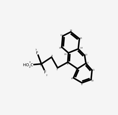 O=C(O)C(F)(F)CCc1c2ccccc2cc2ccccc12